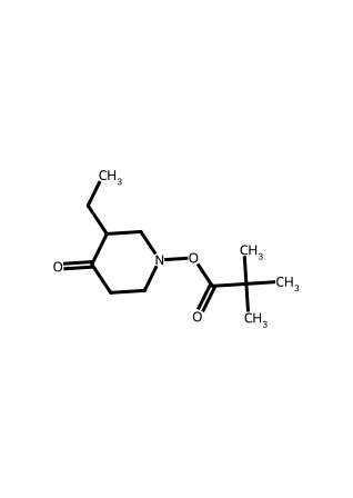 CCC1CN(OC(=O)C(C)(C)C)CCC1=O